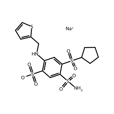 NS(=O)(=O)c1cc(S(=O)(=O)[O-])c(NCc2cccs2)cc1S(=O)(=O)C1CCCC1.[Na+]